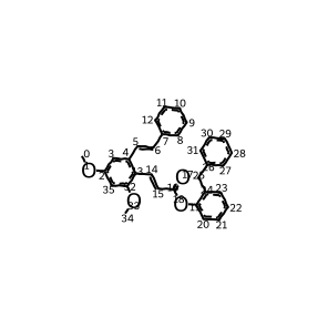 COc1cc(/C=C/c2ccccc2)c(/C=C/C(=O)Oc2ccccc2Cc2ccccc2)c(OC)c1